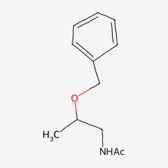 CC(=O)NCC(C)OCc1ccccc1